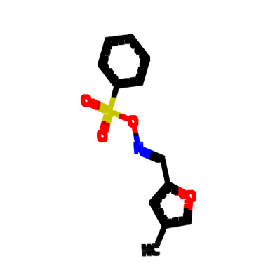 N#Cc1coc(C=NOS(=O)(=O)c2ccccc2)c1